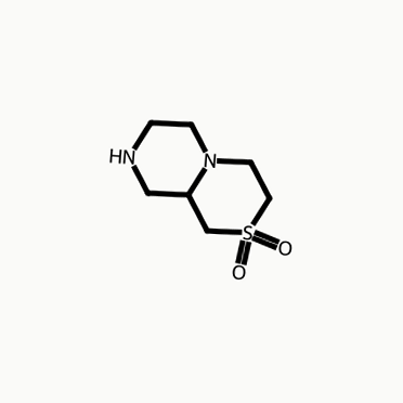 O=S1(=O)CCN2CCNCC2C1